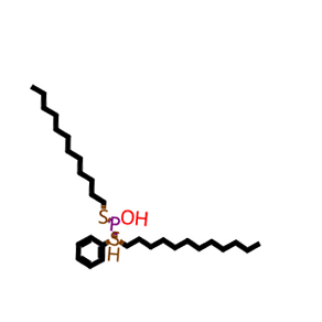 CCCCCCCCCCCCSP(O)[SH](CCCCCCCCCCCC)c1ccccc1